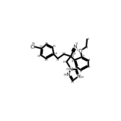 CCOc1ccccc1C(C#N)(CCc1ccc(Cl)cc1)Cn1cncn1